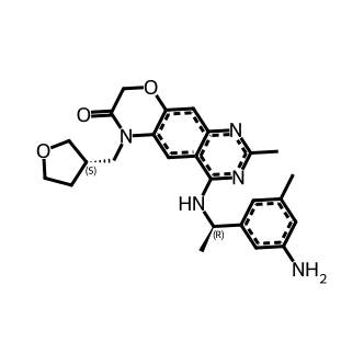 Cc1cc(N)cc([C@@H](C)Nc2nc(C)nc3cc4c(cc23)N(C[C@@H]2CCOC2)C(=O)CO4)c1